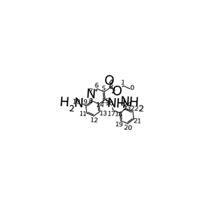 CCOC(=O)c1cnc2c(N)cccc2c1NCc1ccccc1N